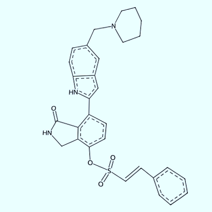 O=C1NCc2c(OS(=O)(=O)C=Cc3ccccc3)ccc(-c3cc4cc(CN5CCCCC5)ccc4[nH]3)c21